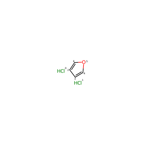 Cl.Cl.c1ccoc1